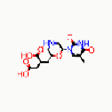 Cc1cn([C@H]2CNC[C@H](CC(CC(=O)O)C(=O)O)O2)c(=O)[nH]c1=O